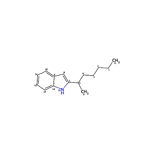 CCCCCC(C)c1cc2ccccc2[nH]1